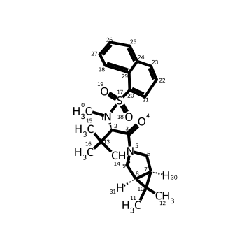 CN([C@H](C(=O)N1C[C@@H]2[C@H](C1)C2(C)C)C(C)(C)C)S(=O)(=O)c1cccc2ccccc12